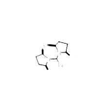 O=C1CCC(=O)N1C(Br)N1C(=O)CCC1=O